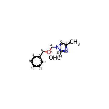 Cc1cn(COCc2ccccc2)c(C=O)n1